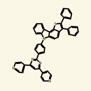 c1ccc(-c2sc3c(ccc4c3c3ccccc3n4-c3ccc(-c4nc(-c5ccncc5)cc(-c5ccncc5)n4)cc3)c2-c2ccccc2)cc1